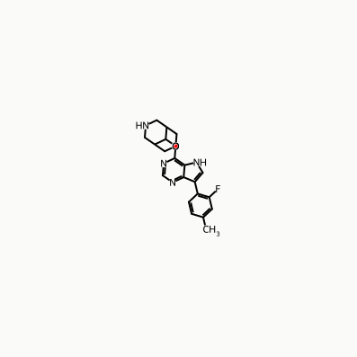 Cc1ccc(-c2c[nH]c3c(OC4C5CNCC4COC5)ncnc23)c(F)c1